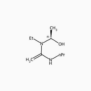 C=C(NCCC)N(CC)[C@@H](C)O